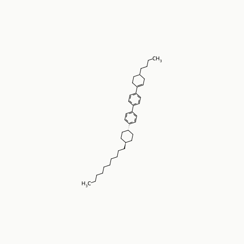 CCCCCCCCCC[C@H]1CC[C@H](c2ccc(-c3ccc(C4=CCC(CCCC)CC4)cc3)cc2)CC1